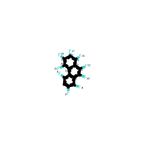 Fc1[c]c(F)c2c(c1F)c(F)c(F)c1c(F)c(F)c(F)c(F)c12